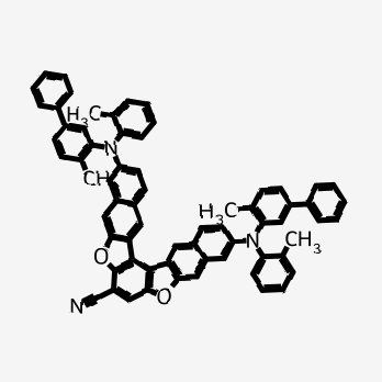 Cc1ccccc1N(c1ccc2cc3c(cc2c1)oc1cc(C#N)c2oc4cc5cc(N(c6ccccc6C)c6cc(-c7ccccc7)ccc6C)ccc5cc4c2c13)c1cc(-c2ccccc2)ccc1C